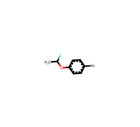 CC(=O)c1ccc(OC(C)F)cc1